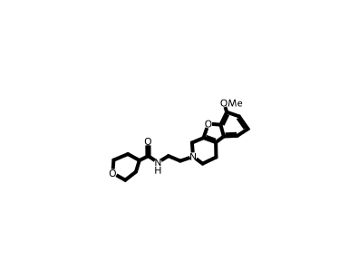 COc1cccc2c3c(oc12)CN(CCNC(=O)C1CCOCC1)CC3